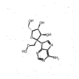 Nc1ncnc2c1ncn2[C@]1(COO)O[C@H](CO)[C@@H](O)[C@H]1O